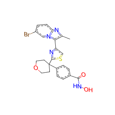 Cc1nc2ccc(Br)cn2c1-c1csc(C2(c3ccc(C(=O)NO)cc3)CCOCC2)n1